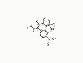 CCON(c1ccc([N+](=O)[O-])cc1)[C@@H](C)C(=O)OP(=O)(O)Cl